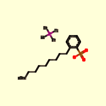 CCCCCCCCCCCCCCCCCCc1ccccc1S(=O)(=O)[O-].CC[P+](CC)(CC)CC